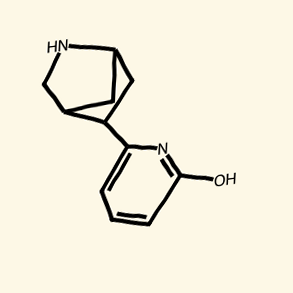 Oc1cccc(C2CC3CC2CN3)n1